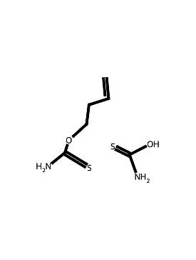 C=CCCOC(N)=S.NC(O)=S